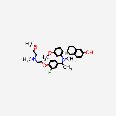 COCCN(C)CCOc1ccc(C(C)N(C)c2cc(OC)ccc2[C@@H]2CCc3cc(O)ccc3C2)cc1F